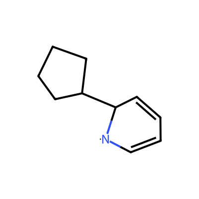 C1=C[N]C(C2CCCC2)C=C1